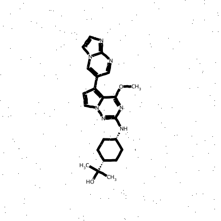 COc1nc(N[C@H]2CC[C@@H](C(C)(C)O)CC2)nn2ccc(-c3cnc4nccn4c3)c12